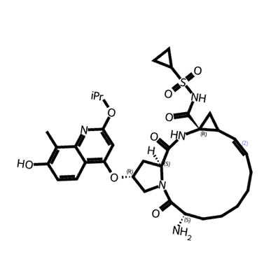 Cc1c(O)ccc2c(O[C@@H]3C[C@H]4C(=O)N[C@]5(C(=O)NS(=O)(=O)C6CC6)CC5/C=C\CCCCC[C@H](N)C(=O)N4C3)cc(OC(C)C)nc12